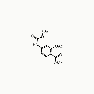 COC(=O)c1ccc(NC(=O)OC(C)(C)C)cc1OC(C)=O